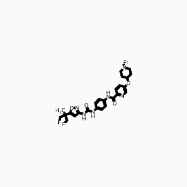 CC(C)N1CCC(Oc2ccc(C(=O)Nc3ccc(NC(=O)Nc4cc(C(C)(CF)CF)on4)cc3)nc2)CC1